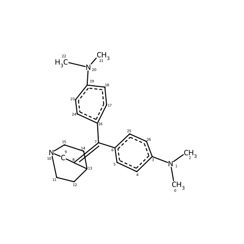 CN(C)c1ccc(C(=C2CN3CCC2CC3)c2ccc(N(C)C)cc2)cc1